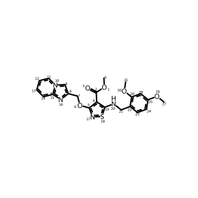 COC(=O)c1c(OCc2cn3ccccc3n2)nsc1NCc1ccc(OC)cc1OC